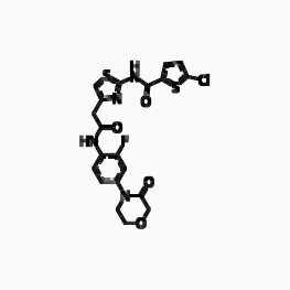 O=C(Cc1csc(NC(=O)c2ccc(Cl)s2)n1)Nc1ccc(N2CCOCC2=O)cc1F